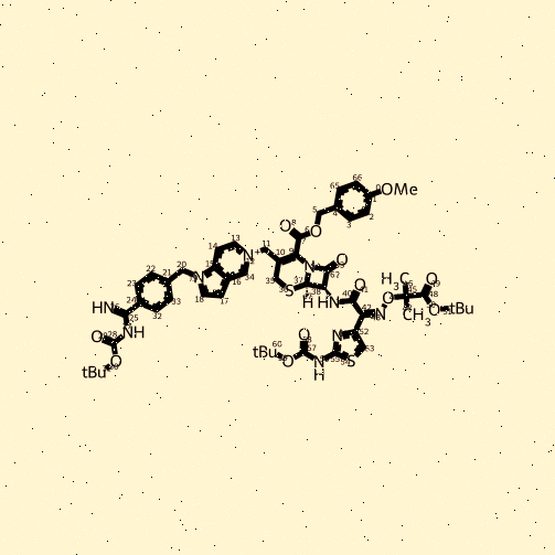 COc1ccc(COC(=O)C2=C(C[n+]3ccc4c(ccn4Cc4ccc(C(=N)NC(=O)OC(C)(C)C)cc4)c3)CS[C@@H]3[C@H](NC(=O)/C(=N\OC(C)(C)C(=O)OC(C)(C)C)c4csc(NC(=O)OC(C)(C)C)n4)C(=O)N23)cc1